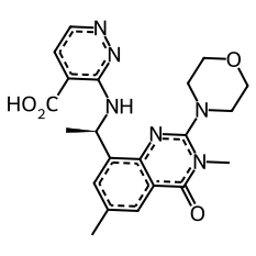 Cc1cc([C@@H](C)Nc2nnccc2C(=O)O)c2nc(N3CCOCC3)n(C)c(=O)c2c1